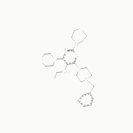 CCNc1c(N2CCOCC2)nc(N2CCOCC2)nc1N1CCN(Cc2ccccc2)CC1